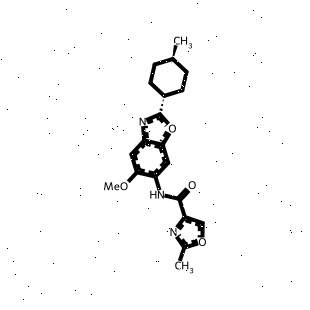 COc1cc2nc([C@H]3CC[C@H](C)CC3)oc2cc1NC(=O)c1coc(C)n1